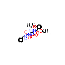 COc1cccc(OC)c1C(=O)NC(CNC(=O)NCc1ccccc1)C(=O)O